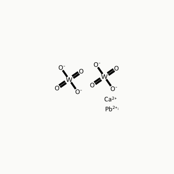 [Ca+2].[O]=[W](=[O])([O-])[O-].[O]=[W](=[O])([O-])[O-].[Pb+2]